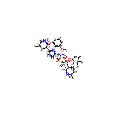 COc1cccc(OC)c1-n1c(NS(=O)(=O)[C@H](C)C(O[Si](C)(C)C(C)(C)C)c2cnc(C)cn2)nnc1-c1cncc(C)c1